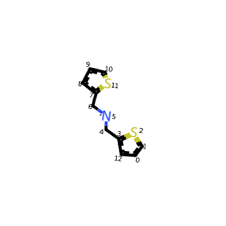 c1csc(C[N]Cc2cccs2)c1